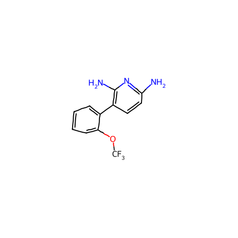 Nc1ccc(-c2ccccc2OC(F)(F)F)c(N)n1